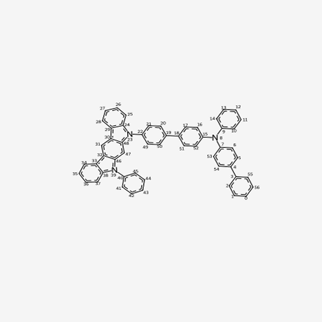 c1ccc(-c2ccc(N(c3ccccc3)c3ccc(-c4ccc(-n5c6ccccc6c6cc7c8ccccc8n(-c8ccccc8)c7cc65)cc4)cc3)cc2)cc1